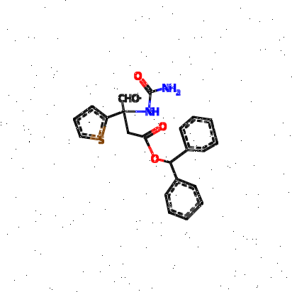 NC(=O)NC([C]=O)(CC(=O)OC(c1ccccc1)c1ccccc1)c1cccs1